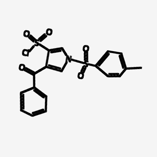 Cc1ccc(S(=O)(=O)n2cc(C(=O)c3ccccc3)c(S(=O)(=O)Cl)c2)cc1